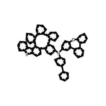 c1ccc(-c2ccc(N(c3ccc4c(c3)-c3ccccc3-c3ccccc3O4)c3ccc4c(c3)c3ccccc3c3ccccc3c3ccccc3c3c4ccc4sc5ccccc5c43)cc2)cc1